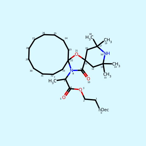 CCCCCCCCCCCCOC(=O)C(C)N1C(=O)C2(CC(C)(C)NC(C)(C)C2)OC12CCCCCCCCCCC2